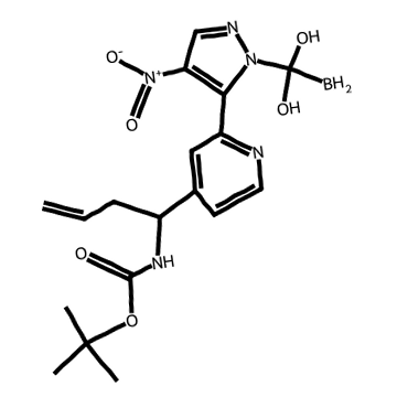 BC(O)(O)n1ncc([N+](=O)[O-])c1-c1cc(C(CC=C)NC(=O)OC(C)(C)C)ccn1